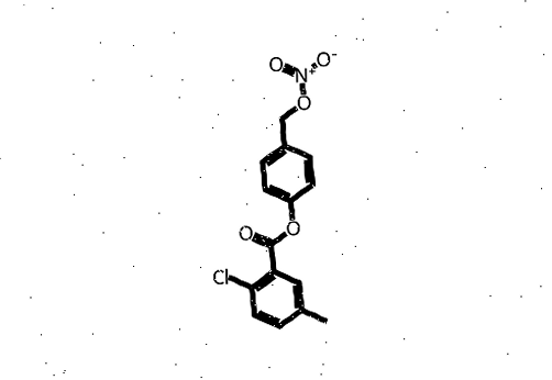 Cc1ccc(Cl)c(C(=O)Oc2ccc(CO[N+](=O)[O-])cc2)c1